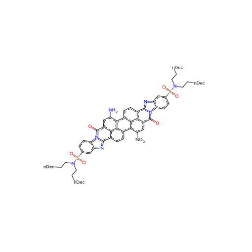 CCCCCCCCCCCCN(CCCCCCCCCCCC)S(=O)(=O)c1ccc2c(c1)nc1c3ccc4c5c([N+](=O)[O-])cc6c(=O)n7c8ccc(S(=O)(=O)N(CCCCCCCCCCCC)CCCCCCCCCCCC)cc8nc7c7ccc(c8c(N)cc(c(=O)n21)c3c48)c5c67